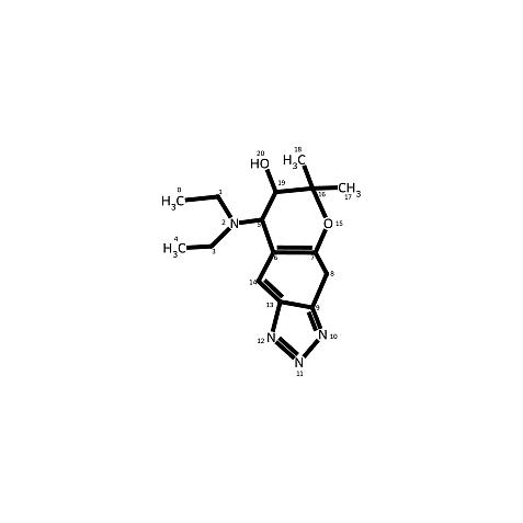 CCN(CC)C1C2=C(CC3=NN=NC3=C2)OC(C)(C)C1O